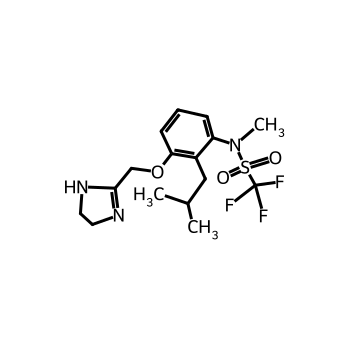 CC(C)Cc1c(OCC2=NCCN2)cccc1N(C)S(=O)(=O)C(F)(F)F